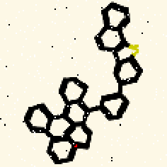 c1ccc(-c2ccccc2-c2c3ccccc3c(-c3cccc(-c4ccc5sc6c7ccccc7ccc6c5c4)c3)c3ccccc23)cc1